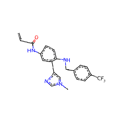 C=CC(=O)Nc1ccc(NCc2ccc(C(F)(F)F)cc2)c(-c2cn(C)cn2)c1